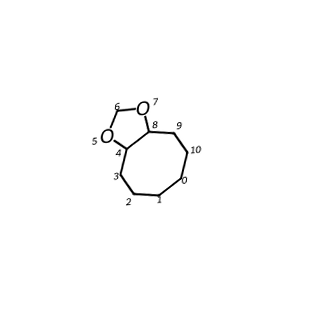 C1CCCC2OCOC2CC1